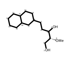 CO[C@H](CO)C(O)CCC1CCC2CCCCC2C1